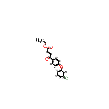 CCOC(=O)C=CC(=O)c1ccc(Oc2cccc(Cl)c2)cc1